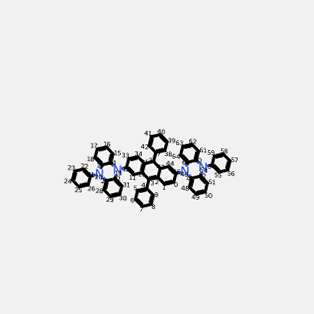 C1=CC2=C(c3ccccc3)c3cc(N4c5ccccc5N(c5ccccc5)c5ccccc54)ccc3C(c3ccccc3)C2C=C1N1c2ccccc2N(c2ccccc2)c2ccccc21